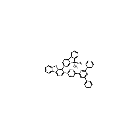 CC1(C)c2ccccc2-c2ccc(-c3c(-c4ccc(-c5nc(-c6ccccc6)nc(-c6ccccc6)n5)cc4)ccc4c3oc3ccccc34)cc21